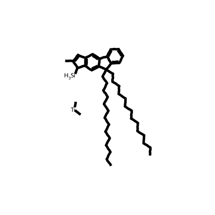 CCCCCCCCCCCCCCC1(CCCCCCCCCCCCCC)c2ccccc2-c2cc3c(cc21)C([SiH3])C(C)=C3.[CH3][Ti][CH3]